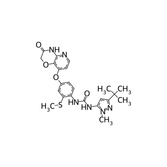 CSc1cc(Oc2ccnc3c2OCC(=O)N3)ccc1NC(=O)Nc1cc(C(C)(C)C)nn1C